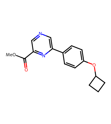 COC(=O)c1cncc(-c2ccc(OC3CCC3)cc2)n1